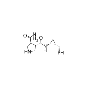 NC(=O)[C@@H]1CNC[C@H]1C(=O)N[C@H]1C[C@@H]1C=P